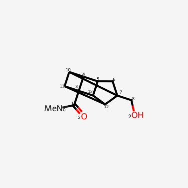 CNC(=O)C12C3C4CC5(CO)C3C1C5C42